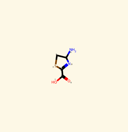 NC1CSC(C(=O)O)=N1